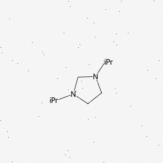 CC(C)N1CCN(C(C)C)C1